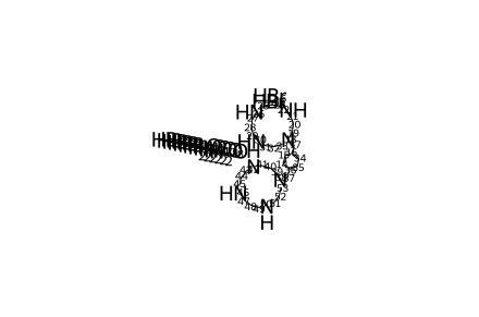 Br.Br.Br.Br.Br.Br.Br.Br.O.O.O.O.O.O.c1cc(CN2CCCNCCCNCCCNCCC2)ccc1CN1CCCNCCCNCCCNCCC1